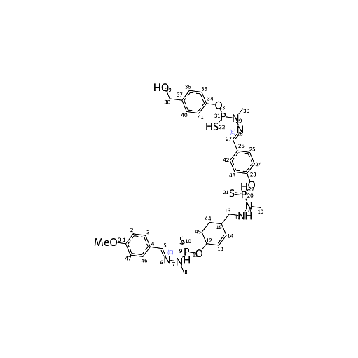 COc1ccc(/C=N/N(C)[PH](=S)OC2C=CC(CNN(C)[PH](=S)Oc3ccc(/C=N/N(C)P(S)Oc4ccc(CO)cc4)cc3)CC2)cc1